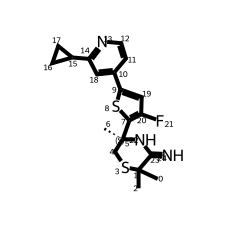 CC1(C)SC[C@@](C)(c2sc(-c3ccnc(C4CC4)c3)cc2F)NC1=N